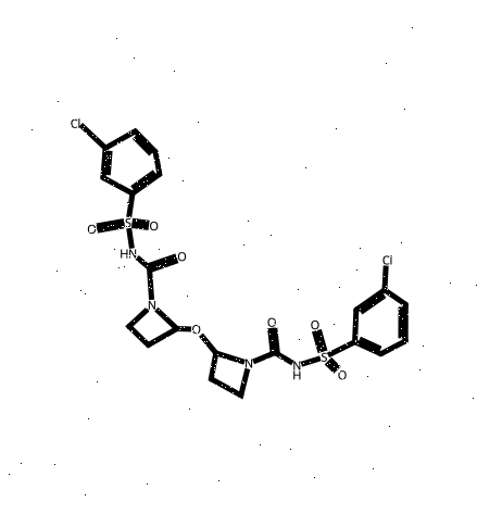 O=C(NS(=O)(=O)c1cccc(Cl)c1)N1CCC1OC1CCN1C(=O)NS(=O)(=O)c1cccc(Cl)c1